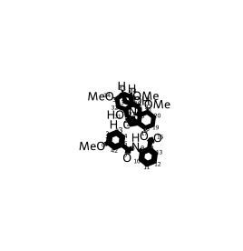 COc1cccc(C(=O)Nc2ccccc2C(=O)O[C@@]23CC[C@H](OC)C45C2CC(N4[C@H]3C)[C@@]2(O)C[C@H](OC)[C@H]3CC5[C@]2(O)[C@H]3OC)c1